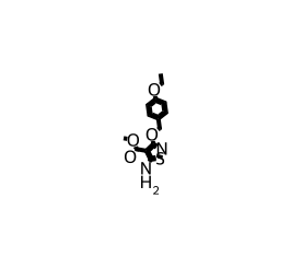 CCOc1ccc(COc2nsc(N)c2C(=O)OC)cc1